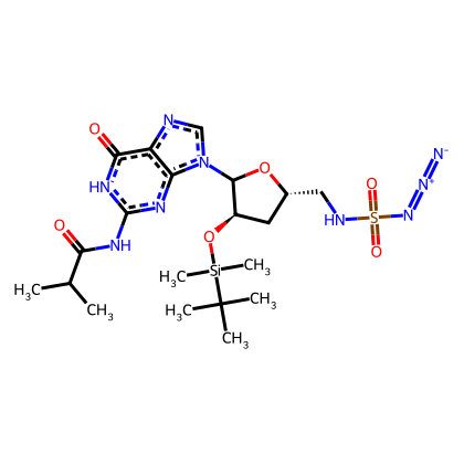 CC(C)C(=O)Nc1nc2c(ncn2C2O[C@H](CNS(=O)(=O)N=[N+]=[N-])C[C@H]2O[Si](C)(C)C(C)(C)C)c(=O)[nH]1